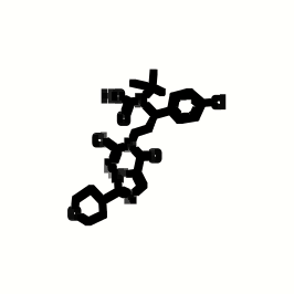 CC(C)(C)N(C(=O)O)[C@H](CCN1C(=O)C2=CN=C(C3CCOCC3)[N+]2N=C1Cl)c1ccc(Cl)cc1